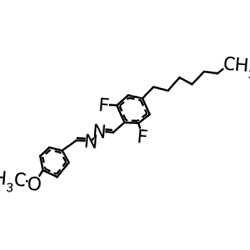 CCCCCCCc1cc(F)c(/C=N/N=C/c2ccc(OC)cc2)c(F)c1